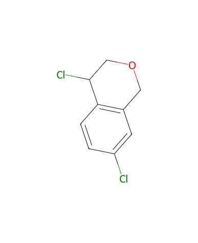 Clc1ccc2c(c1)COCC2Cl